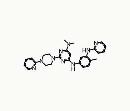 Cc1ccc(Nc2cc(N(C)C)nc(N3CCN(c4ccccn4)CC3)n2)cc1Nc1ccccn1